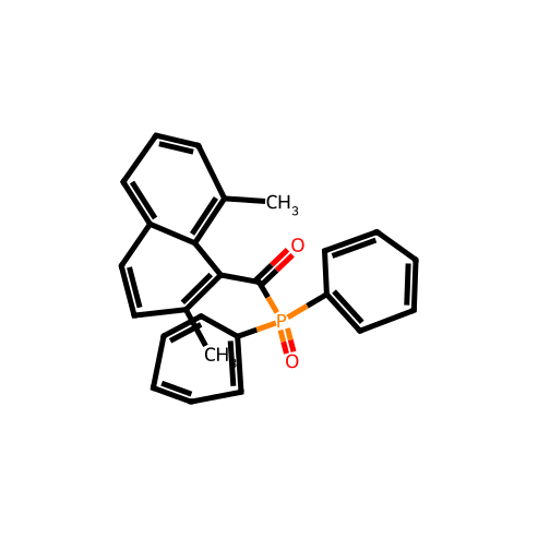 Cc1ccc2cccc(C)c2c1C(=O)P(=O)(c1ccccc1)c1ccccc1